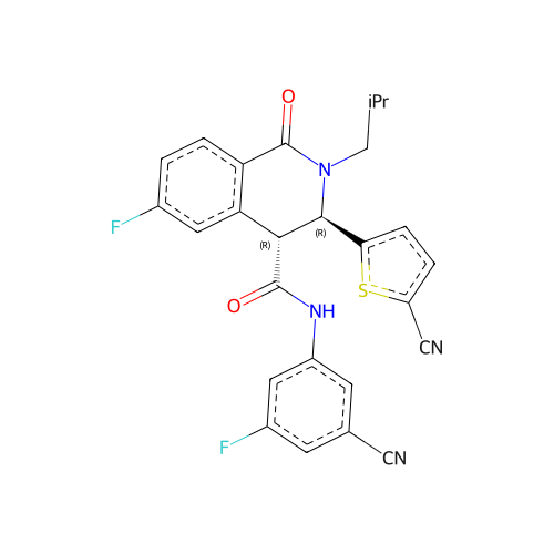 CC(C)CN1C(=O)c2ccc(F)cc2[C@@H](C(=O)Nc2cc(F)cc(C#N)c2)[C@@H]1c1ccc(C#N)s1